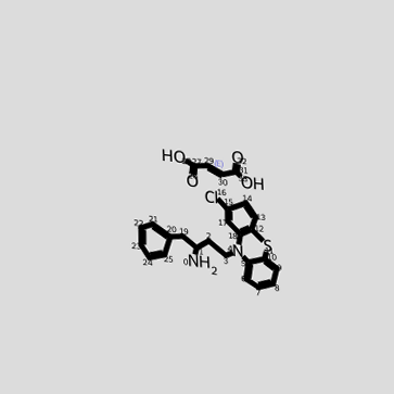 NC(CCN1c2ccccc2Sc2ccc(Cl)cc21)Cc1ccccc1.O=C(O)/C=C/C(=O)O